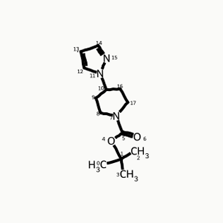 CC(C)(C)OC(=O)N1CCC(n2c[c]cn2)CC1